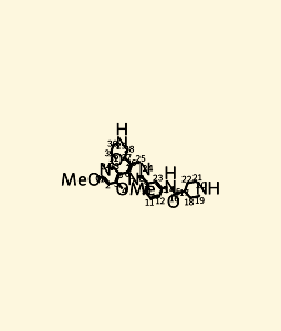 COc1cc(OC)c(-c2nc(-c3cccc(NC(=O)C4CCNCC4)c3)ncc2C2CNCCO2)cn1